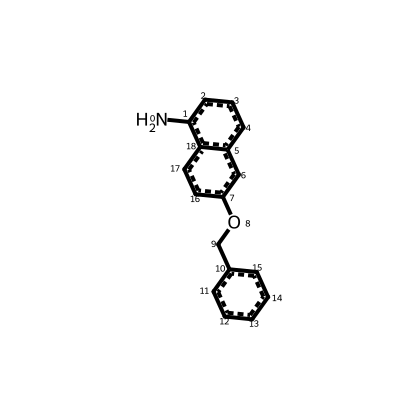 Nc1cccc2cc(OCc3ccccc3)ccc12